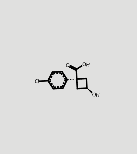 O=C(O)[C@]1(c2ccc(Cl)cc2)C[C@H](O)C1